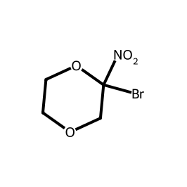 O=[N+]([O-])C1(Br)COCCO1